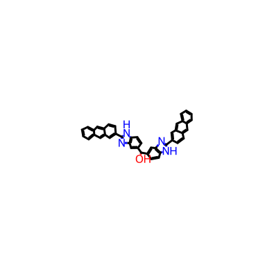 OC(c1ccc2[nH]c(-c3ccc4cc5ccccc5cc4c3)nc2c1)c1ccc2[nH]c(-c3ccc4cc5ccccc5cc4c3)nc2c1